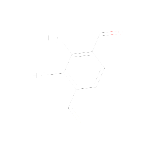 Cc1c(C=O)ccc(C=S)c1C